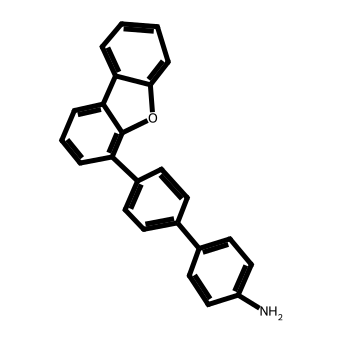 Nc1ccc(-c2ccc(-c3cccc4c3oc3ccccc34)cc2)cc1